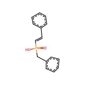 O=P(O)(C=Cc1ccccc1)Cc1ccccc1